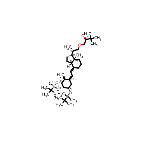 C=C1/C(=C\C=C2/CCC[C@]3(C)[C@@H]([C@H](C)COCC(=O)C(C)(C)C)CC[C@@H]23)C[C@@H](O[Si](C)(C)C(C)(C)C)C[C@@H]1O[Si](C)(C)C(C)(C)C